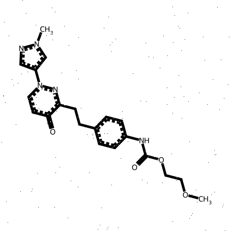 COCCOC(=O)Nc1ccc(CCc2nn(-c3cnn(C)c3)ccc2=O)cc1